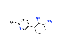 Cc1ccc(C2CCCC(N)C2N)cn1